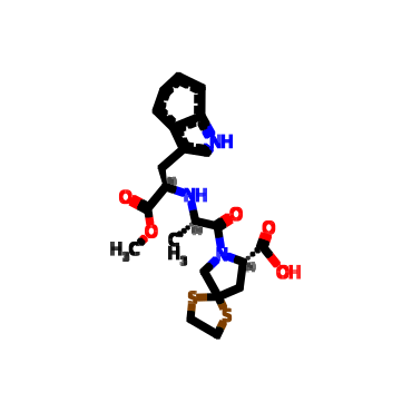 COC(=O)[C@@H](Cc1c[nH]c2ccccc12)N[C@@H](C)C(=O)N1CC2(C[C@H]1C(=O)O)SCCS2